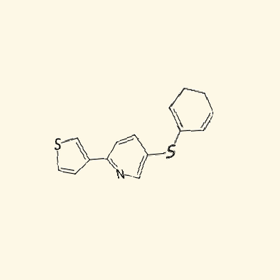 C1=CC(Sc2ccc(-c3ccsc3)nc2)=CCC1